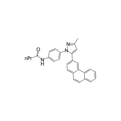 CCCC(=O)Nc1ccc(-n2nc(C)cc2-c2ccc3ccc4ccccc4c3c2)cc1